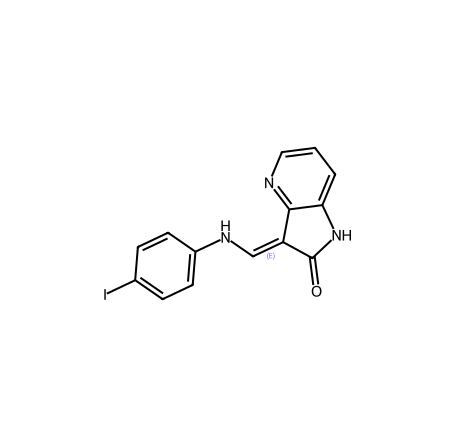 O=C1Nc2cccnc2/C1=C\Nc1ccc(I)cc1